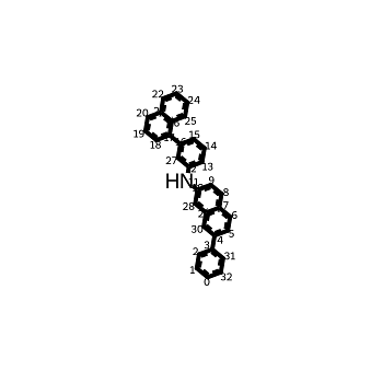 c1ccc(-c2ccc3ccc(Nc4cccc(-c5cccc6ccccc56)c4)cc3c2)cc1